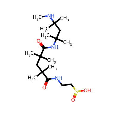 CNC(C)(C)CC(C)(C)NC(=O)C(C)(C)CC(C)(C)C(=O)NCCS(=O)O